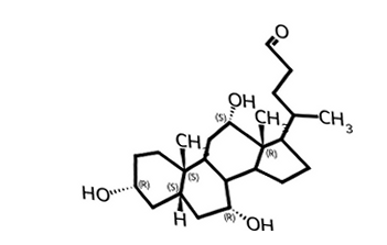 CC(CCC=O)C1CCC2C3C(C[C@H](O)[C@]12C)[C@@]1(C)CC[C@@H](O)C[C@H]1C[C@H]3O